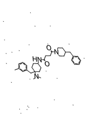 Cc1cccc(CC2(N(C)C)CCC(NC(=O)CCC(=O)N3CCC(Cc4ccccc4)CC3)CC2)c1